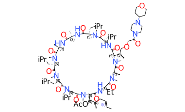 C/C=C/C[C@@H](C)[C@@H](OC(C)=O)[C@H]1C(=O)N[C@@H](CC)C(=O)N(C)[C@H](C)C(=O)N(C)[C@@H]([C@H](C)COCC(=O)N2CCN(C3CCOCC3)CC2)C(=O)N[C@@H](C(C)C)C(=O)N(C)[C@@H](CC(C)C)C(=O)N[C@@H](C)C(=O)N[C@H](C)C(=O)N(C)[C@@H](CC(C)C)C(=O)N(C)[C@@H](CC(C)C)C(=O)N(C)[C@@H](C(C)C)C(=O)N1C